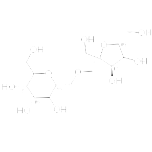 OCC1O[C@H](COC[C@]2(CO)O[C@H](CO)C(O)[C@H]2O)C(O)[C@H](O)[C@@H]1O